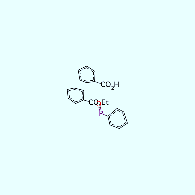 CCOC(=O)c1ccccc1.O=C(O)c1ccccc1.O=Pc1ccccc1